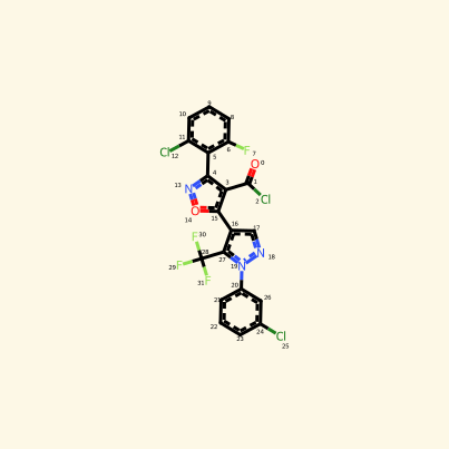 O=C(Cl)c1c(-c2c(F)cccc2Cl)noc1-c1cnn(-c2cccc(Cl)c2)c1C(F)(F)F